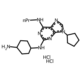 CCCNc1nc(NC2CCC(N)CC2)nc2c1ncn2C1CCCC1.Cl.Cl